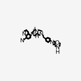 C[C@@H]1CN(c2ccc(C#N)c3ncccc23)C[C@@H]2CN(CCc3ccc(N4CC5(CNCCO5)C4)cc3)CCN21